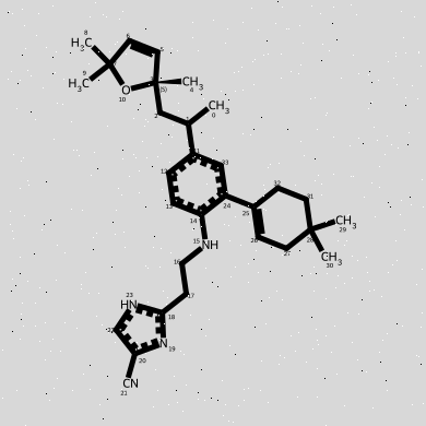 CC(C[C@@]1(C)C=CC(C)(C)O1)c1ccc(NCCc2nc(C#N)c[nH]2)c(C2=CCC(C)(C)CC2)c1